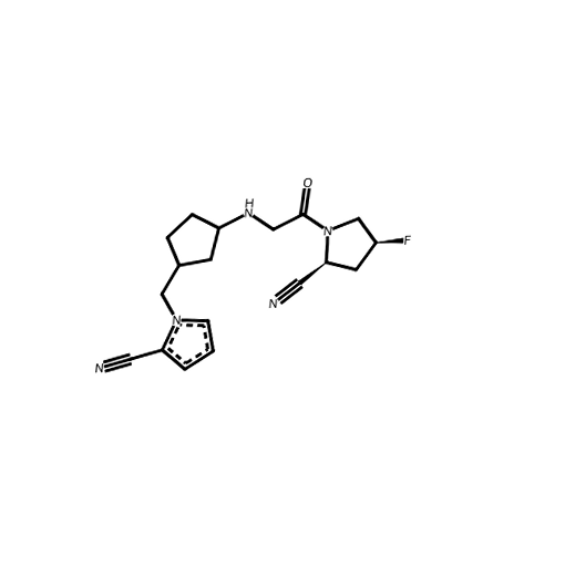 N#Cc1cccn1CC1CCC(NCC(=O)N2C[C@@H](F)C[C@H]2C#N)C1